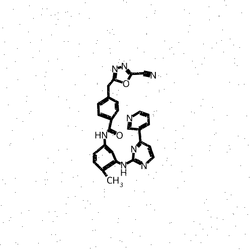 Cc1ccc(NC(=O)c2ccc(Cc3nnc(C#N)o3)cc2)cc1Nc1nccc(-c2cccnc2)n1